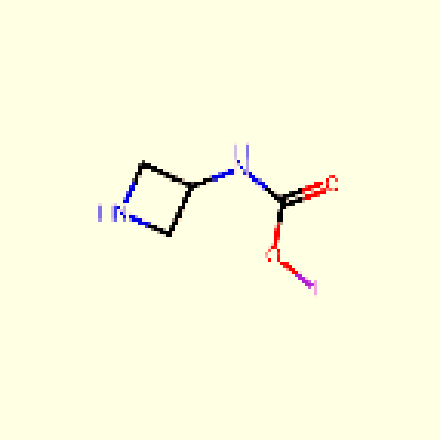 O=C(NC1CNC1)OI